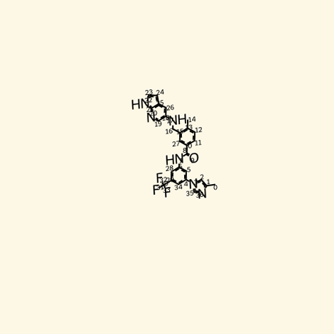 Cc1cn(-c2cc(NC(=O)c3ccc(C)c(CNc4cnc5[nH]ccc5c4)c3)cc(C(F)(F)F)c2)cn1